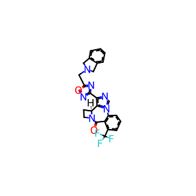 O=C1c2c(cccc2C(F)(F)F)-n2cnc(-c3noc(CN4Cc5ccccc5C4)n3)c2[C@@H]2CCN12